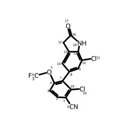 N#Cc1ccc(OC(F)(F)F)c(-c2cc(Cl)c3c(c2)CC(=O)N3)c1Cl